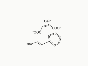 CC(C)(C)C=Cc1ccccc1.O=C([O-])/C=C\C(=O)[O-].[Ca+2]